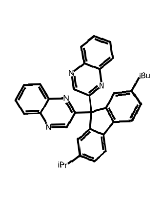 CCC(C)c1ccc2c(c1)C(c1cnc3ccccc3n1)(c1cnc3ccccc3n1)c1cc(C(C)C)ccc1-2